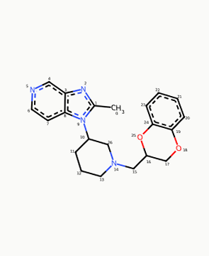 Cc1nc2cnccc2n1C1CCCN(CC2COc3ccccc3O2)C1